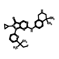 CC(C)(CF)c1cccc(-n2c3nc(Nc4ccc5c(c4)CNCC5(C)C)ncc3c(=O)n2C2CC2)n1